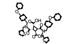 O=C(O)[C@H]1[C@H](C(=O)N(Cc2ccc(Oc3ccccc3)cc2)Cc2cccs2)[C@H](C(=O)O)[C@H]1C(=O)N(Cc1ccc(Oc2ccccc2)cc1)Cc1cccs1